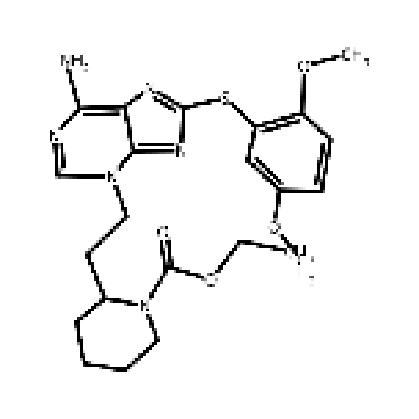 CCOC(=O)N1CCCCC1CCn1cnc(N)c2nc(Sc3cc(OC)ccc3OC)nc1-2